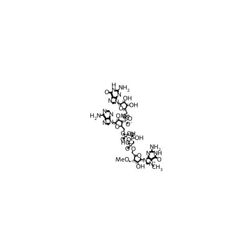 COC[C@H]1[C@@H](O)[C@H](n2c[n+](C)c3c(=O)[nH]c(N)nc32)O[C@@H]1COP(=O)(O)CP(=O)(O)OP(=O)(O)OCC1O[C@@H](n2cnc3c(N)ncnc32)[C@H](OC)[C@@H]1P(=O)([O-])OC[C@H]1O[C@@H](n2cnc3c(=O)[nH]c(N)nc32)[C@H](O)[C@@H]1O